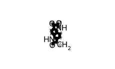 C=C1C(=O)Nc2c1ccc1c3c(ccc21)C(=O)C(=O)N3